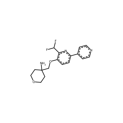 NC1(COc2ccc(-c3ccncc3)nc2C(F)F)CCOCC1